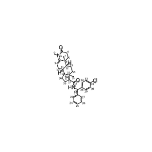 CN1C(=O)CC[C@@]2(C)C1=CC[C@@H]1[C@H]2CC[C@]2(C)C(C(=O)NC(c3ccccc3)c3ccc(Cl)cc3)CC[C@@H]12